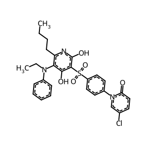 CCCCc1nc(O)c(S(=O)(=O)c2ccc(-n3cc(Cl)ccc3=O)cc2)c(O)c1N(CC)c1ccccc1